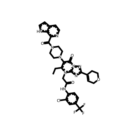 CCc1c(N2CCN(C(=O)c3nccc4cc[nH]c34)CC2)c(=O)n2nc(C3=CCOCC3)nc2n1CC(=O)Nc1ccc(C(F)(F)F)cc1Cl